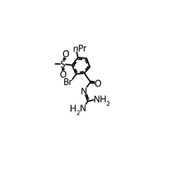 CCCc1ccc(C(=O)N=C(N)N)c(Br)c1S(C)(=O)=O